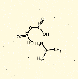 CC(C)N.O=[PH](O)O[PH](=O)O